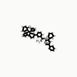 NC(NC1NC=C(c2ccccc2)C=C1c1ccccc1)c1cccc(-c2ccc3c(c2)C2(c4ccccc4Oc4ccccc42)c2ccccc2-3)c1